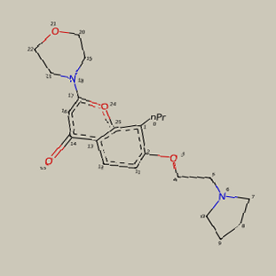 CCCc1c(OCCN2CCCC2)ccc2c(=O)cc(N3CCOCC3)oc12